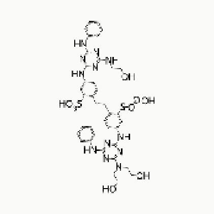 O=S(=O)(O)c1cc(Nc2nc(NCCO)nc(Nc3ccccc3)n2)ccc1/C=C/c1ccc(Nc2nc(Nc3ccccc3)nc(N(CCO)CCO)n2)cc1SOOO